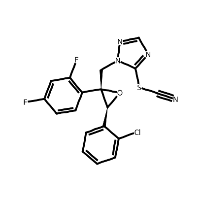 N#CSc1ncnn1C[C@@]1(c2ccc(F)cc2F)O[C@H]1c1ccccc1Cl